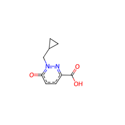 O=C(O)c1ccc(=O)n(CC2CC2)n1